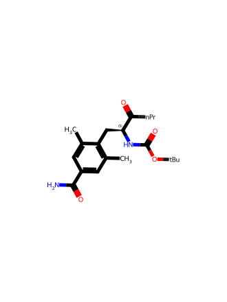 CCCC(=O)[C@H](Cc1c(C)cc(C(N)=O)cc1C)NC(=O)OC(C)(C)C